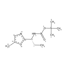 CC[C@@H](NC(=O)OC(C)(C)C)c1ncc(C)o1